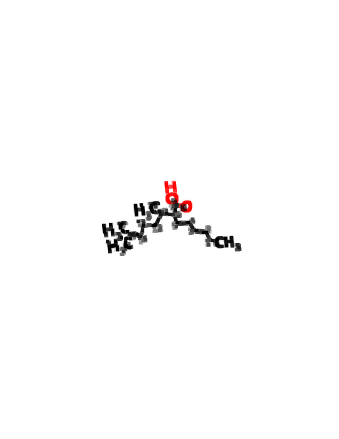 CCC=CC=CC(C(=O)O)C(C)CCC=C(C)C